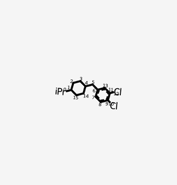 CC(C)C1CCC(Cc2ccc(Cl)c(Cl)c2)CC1